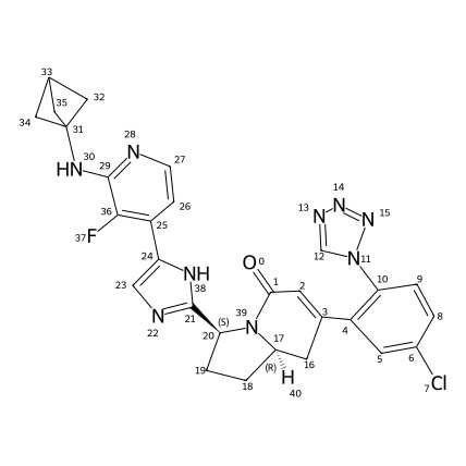 O=C1C=C(c2cc(Cl)ccc2-n2cnnn2)C[C@H]2CC[C@@H](c3ncc(-c4ccnc(NC56CC(C5)C6)c4F)[nH]3)N12